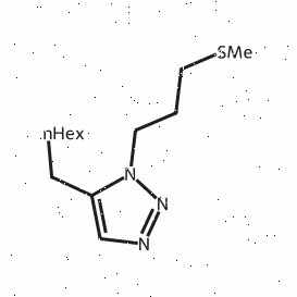 CCCCCCCc1cnnn1CCCSC